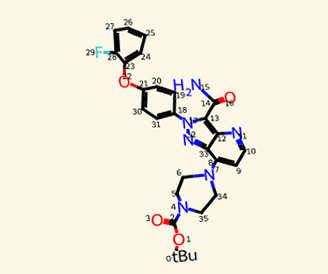 CC(C)(C)OC(=O)N1CCN(c2ccnc3c(C(N)=O)n(-c4ccc(Oc5ccccc5F)cc4)nc23)CC1